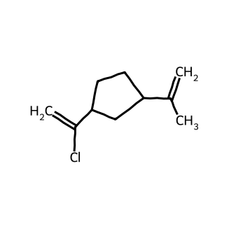 C=C(C)C1CCC(C(=C)Cl)C1